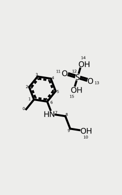 Cc1ccccc1NCCO.O=S(=O)(O)O